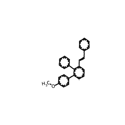 COc1ccc(-c2[c]ccc(C=Cc3ccccc3)c2-c2ccccc2)cc1